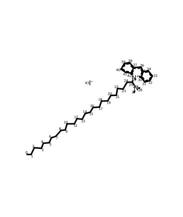 CCCCCCCCCCCCCCCCCCCCCCCCCC(N(C)C)[n+]1c2ccccc2cc2ccccc21.[I-]